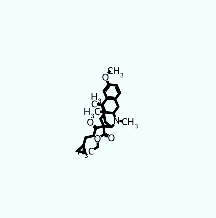 CCOC(=O)C1(C(=O)CCC2CC2)CC2(C)C3Cc4ccc(OC)cc4C2(C)CC1N3C